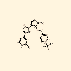 Cn1ncc(-c2nc(-c3ccnc(Cl)c3)no2)c1COc1ccc(C(F)(F)F)cc1